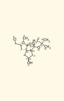 COC(=O)[C@]1(CCCCl)C[C@H](O)CN1C(=O)OC(C)(C)C